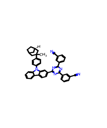 CC1(c2ccc(-n3c4ccccc4c4ccc(-c5nc(-c6cccc(C#N)c6)nc(-c6cccc(C#N)c6)n5)cc43)cc2)CC2CC[C@H](C2)C1